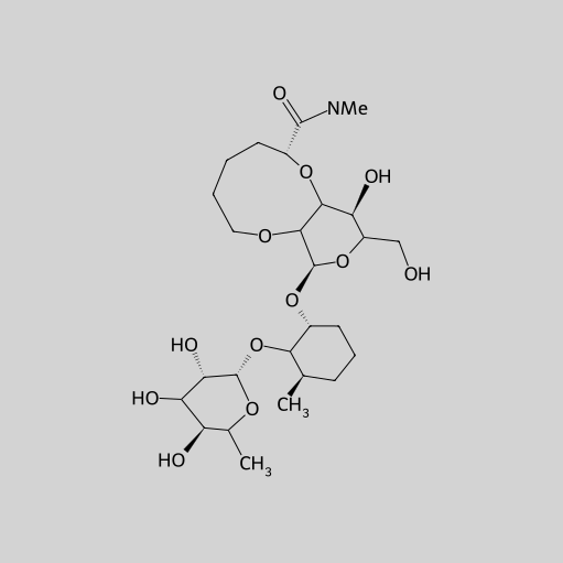 CNC(=O)[C@H]1CCCCOC2C(O1)[C@@H](O)C(CO)O[C@H]2O[C@@H]1CCC[C@@H](C)C1O[C@@H]1OC(C)[C@@H](O)C(O)[C@@H]1O